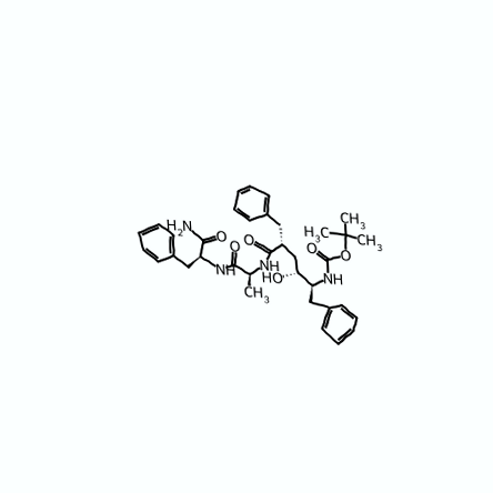 C[C@H](NC(=O)[C@H](Cc1ccccc1)C[C@@H](O)[C@H](Cc1ccccc1)NC(=O)OC(C)(C)C)C(=O)N[C@@H](Cc1ccccc1)C(N)=O